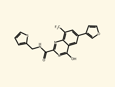 O=C(NCc1cccs1)c1nc(O)c2cc(-c3ccoc3)cc(C(F)(F)F)c2n1